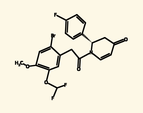 COc1cc(Br)c(CC(=O)N2C=CC(=O)C[C@H]2c2ccc(F)cc2)cc1OC(F)F